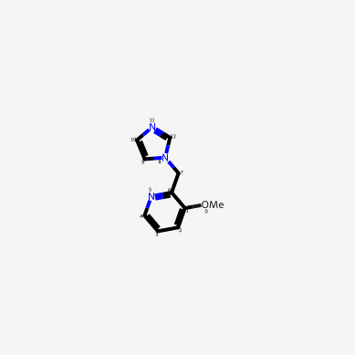 COc1cccnc1Cn1ccnc1